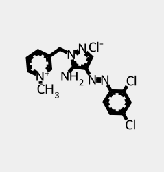 C[n+]1cccc(Cn2ncc(/N=N/c3ccc(Cl)cc3Cl)c2N)c1.[Cl-]